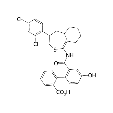 O=C(O)c1ccccc1-c1ccc(O)cc1C(=O)NC1=C2CCCCC2CC(c2ccc(Cl)cc2Cl)CS1